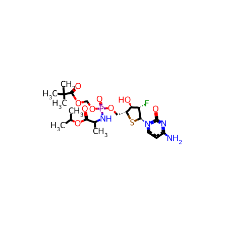 CC(C)OC(=O)C(C)NP(=O)(OCOC(=O)C(C)(C)C)OC[C@H]1S[C@@H](n2ccc(N)nc2=O)[C@@H](F)[C@@H]1O